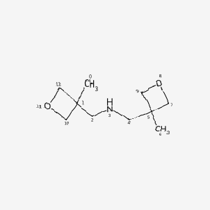 CC1(CNCC2(C)COC2)COC1